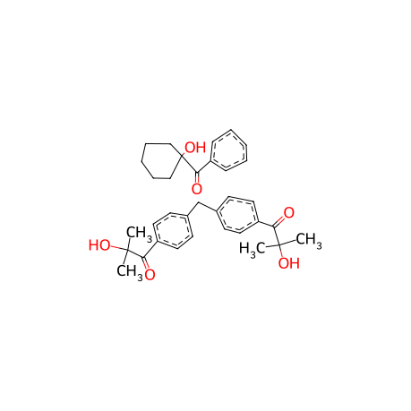 CC(C)(O)C(=O)c1ccc(Cc2ccc(C(=O)C(C)(C)O)cc2)cc1.O=C(c1ccccc1)C1(O)CCCCC1